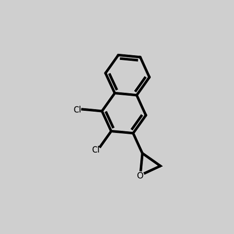 Clc1c(C2CO2)cc2ccccc2c1Cl